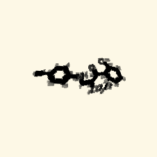 C#Cc1ccc(NC=C(C(=O)OCC)C(=O)c2ccccc2Cl)cc1